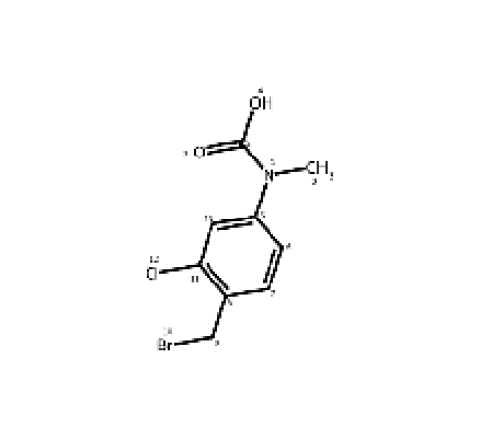 CN(C(=O)O)c1ccc(CBr)c(Cl)c1